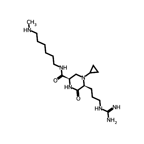 CNCCCCCCNC(=O)[C@H]1CN(C2CC2)[C@@H](CCCNC(=N)N)C(=O)N1